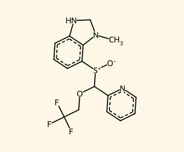 CN1CNc2cccc([S+]([O-])C(OCC(F)(F)F)c3ccccn3)c21